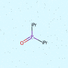 CC(C)[P](=O)C(C)C